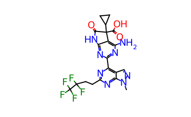 Cn1ncc2c(-c3nc(N)c4c(n3)NC(=O)C4(C(=O)O)C3CC3)nc(CCC(F)(F)C(F)(F)F)nc21